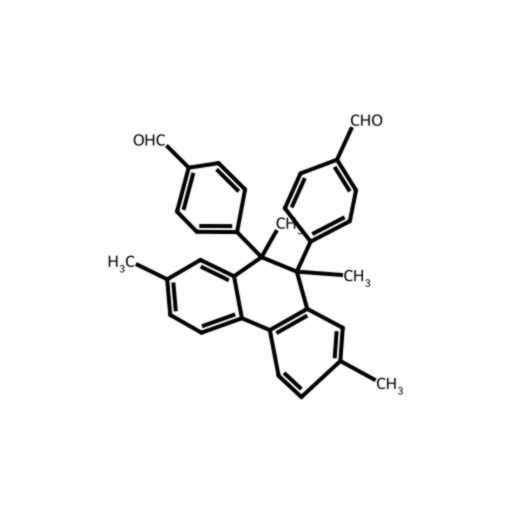 Cc1ccc2c(c1)C(C)(c1ccc(C=O)cc1)C(C)(c1ccc(C=O)cc1)c1cc(C)ccc1-2